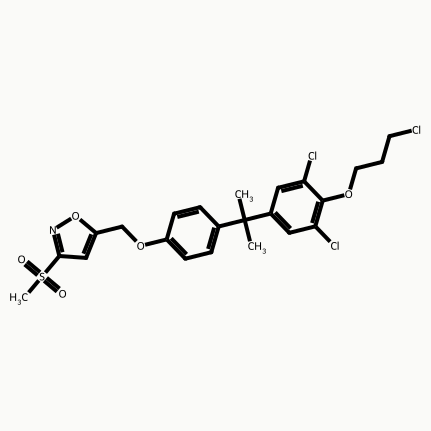 CC(C)(c1ccc(OCc2cc(S(C)(=O)=O)no2)cc1)c1cc(Cl)c(OCCCCl)c(Cl)c1